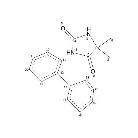 CC1(C)NC(=O)NC1=O.c1ccc(-c2ccccc2)cc1